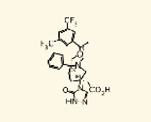 C[C@@H](OC[C@@]1(c2ccccc2)CC[C@](CC(=O)O)(n2cn[nH]c2=O)CN1C)c1cc(C(F)(F)F)cc(C(F)(F)F)c1